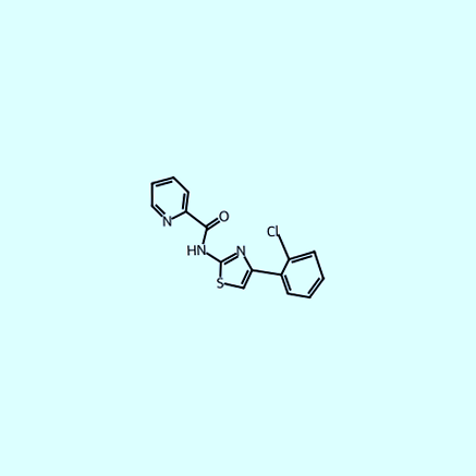 O=C(Nc1nc(-c2ccccc2Cl)cs1)c1ccccn1